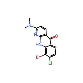 CN(C)c1ccc2c(=O)c3ccc(Cl)c(Br)c3[nH]c2n1